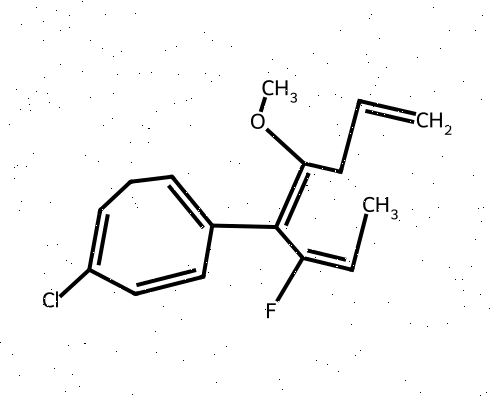 C=CC/C(OC)=C(C1=CCC=C(Cl)C=C1)\C(F)=C/C